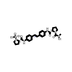 CCN(C)C(=O)N1CCC[C@H]1C(=O)Nc1ccc(/C=C/c2ccc(NC(=O)[C@@H]3CCCN3[N+]([O-])(CC)CC)cc2)cc1